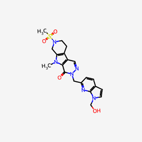 Cn1c2c(c3cnn(Cc4ccc5ccn(CO)c5n4)c(=O)c31)CCN(S(C)(=O)=O)C2